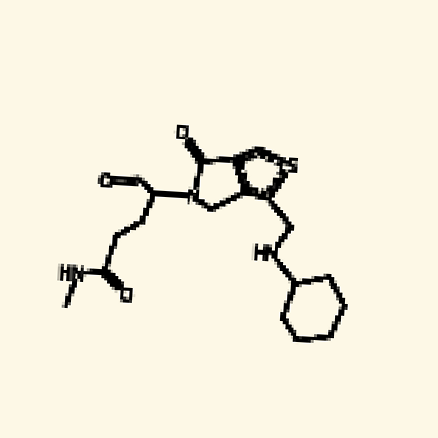 CNC(=O)CCC(C=O)N1Cc2c(csc2CNC2CCCCC2)C1=O